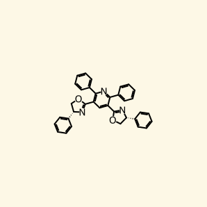 c1ccc(-c2nc(-c3ccccc3)c(C3=N[C@H](c4ccccc4)CO3)cc2C2=N[C@H](c3ccccc3)CO2)cc1